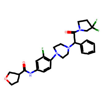 O=C(Nc1ccc(N2CCN(C(C(=O)N3CCC(F)(F)C3)c3ccccc3)CC2)c(F)c1)C1CCOC1